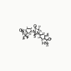 [C-]#[N+]c1ccc(N2C(=O)C(C)(C)N(c3ccc(C(=O)NC)c(F)c3)C2=S)cc1C(F)(F)F